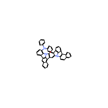 c1ccc(N(c2ccccc2)c2cccc3c4cc5ccccc5c5c6cc7c(cc6n(c23)c45)c2cccc3c4c5ccccc5ccc4n7c23)cc1